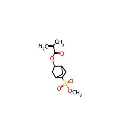 C=C(C)C(=O)OC1CC2CC1CC2S(=O)(=O)OC